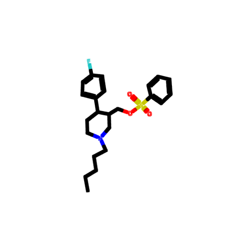 CCCCCN1CCC(c2ccc(F)cc2)C(COS(=O)(=O)c2ccccc2)C1